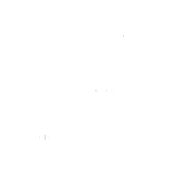 CCCCCCCCCCCC.O=C(O)Cl